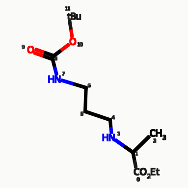 CCOC(=O)C(C)NCCCNC(=O)OC(C)(C)C